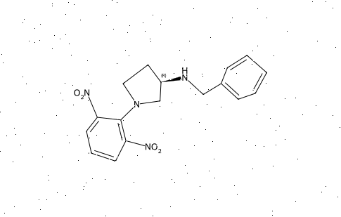 O=[N+]([O-])c1c[c]cc([N+](=O)[O-])c1N1CC[C@@H](NCc2ccccc2)C1